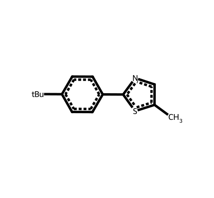 Cc1cnc(-c2ccc(C(C)(C)C)cc2)s1